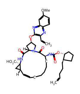 C=CCCC[C@@H]1CCC[C@H]1OC(=O)N[C@H]1CCCCCC=C[C@@H]2C[C@@]2(C(=O)O)NC(=O)[C@@H]2C[C@@H](Oc3nc4cc(OC)ccc4nc3C=C)CN2C1=O